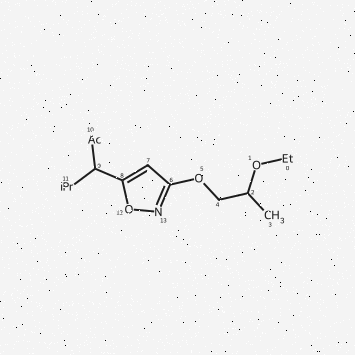 CCOC(C)COc1cc(C(C(C)=O)C(C)C)on1